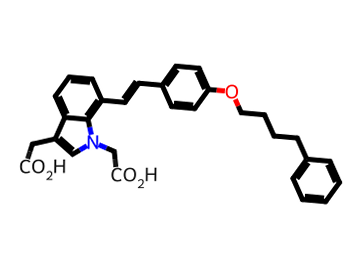 O=C(O)Cc1cn(CC(=O)O)c2c(C=Cc3ccc(OCCCCc4ccccc4)cc3)cccc12